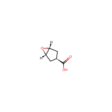 O=C(O)[C@H]1C[C@@H]2O[C@@H]2C1